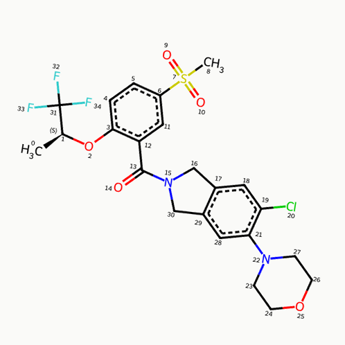 C[C@H](Oc1ccc(S(C)(=O)=O)cc1C(=O)N1Cc2cc(Cl)c(N3CCOCC3)cc2C1)C(F)(F)F